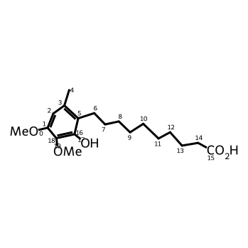 COc1cc(C)c(CCCCCCCCCC(=O)O)c(O)c1OC